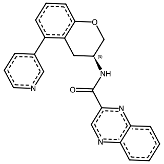 O=C(N[C@@H]1COc2cccc(-c3cccnc3)c2C1)c1cnc2ccccc2n1